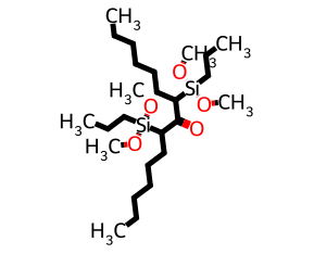 CCCCCCC(C(=O)C(CCCCCC)[Si](CCC)(OC)OC)[Si](CCC)(OC)OC